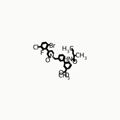 CCCC(C)C(=O)Nc1ccc(C(=O)OC)cc1-c1cccc(CN2CCC(c3c(Br)ccc(Cl)c3F)=CC2=O)c1